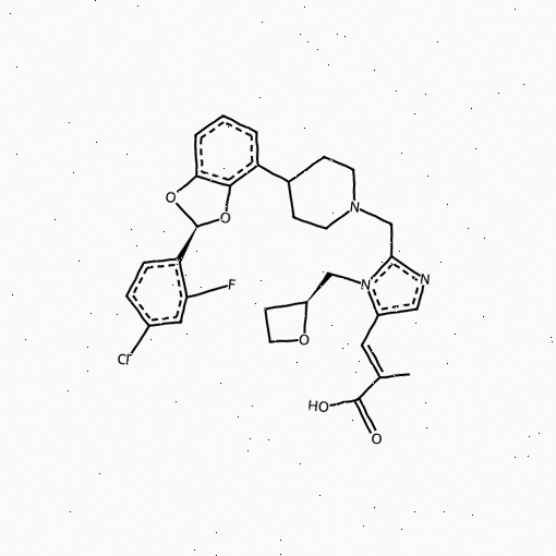 C/C(=C\c1cnc(CN2CCC(c3cccc4c3O[C@@H](c3ccc(Cl)cc3F)O4)CC2)n1C[C@@H]1CCO1)C(=O)O